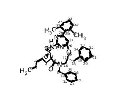 C=C/C=C\CC1C(=O)N(Cc2ccccc2)C[C@@H](Cc2ccccc2)Oc2cc(-c3c(C)cccc3C)nc(n2)NS1(=O)=O